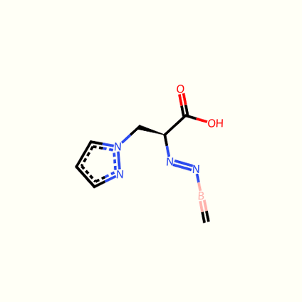 C=BN=N[C@@H](Cn1cccn1)C(=O)O